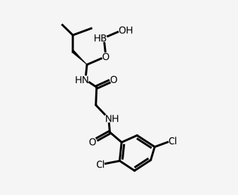 CC(C)C[C@H](NC(=O)CNC(=O)c1cc(Cl)ccc1Cl)OBO